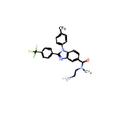 Cc1ccc(-n2c(-c3ccc(C(F)(F)F)cc3)nc3cc(C(=O)N(C)CCN)ccc32)cc1